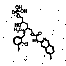 CN(Cc1cccc(F)c1Cl)C(COC(=O)Nc1cc2cc(F)ccc2cn1)CC(O)COP(=O)(O)O